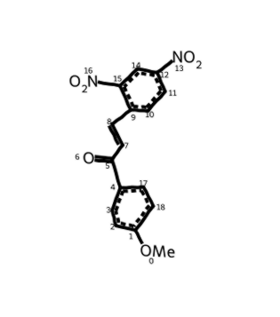 COc1ccc(C(=O)/C=C/c2ccc([N+](=O)[O-])cc2[N+](=O)[O-])cc1